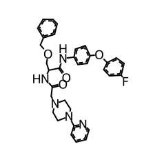 O=C(CN1CCN(c2ccccn2)CC1)NC(COCc1ccccc1)C(=O)Nc1ccc(Oc2ccc(F)cc2)cc1